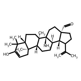 C=C(C)C1CC[C@]2(C=O)CC[C@]3(N)[C@H](CC[C@@H]4[C@@]5(C)CC=C(O)C(C)(C)[C@@H]5CC[C@]43C)[C@@H]12